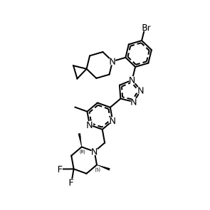 Cc1cc(-c2cn(-c3ccc(Br)cc3N3CCC4(CC3)CC4)nn2)nc(CN2[C@H](C)CC(F)(F)C[C@@H]2C)n1